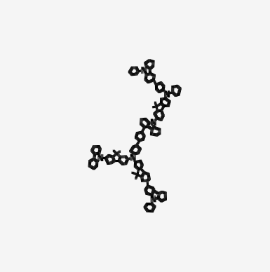 CC1(C)c2cc(-c3ccc4c(c3)c3ccccc3n4-c3ccccc3)ccc2-c2ccc(N(c3ccc(-c4ccc(-c5cccc6c5c5ccccc5n6-c5ccc6c(c5)C(C)(C)c5cc(N(c7ccccc7)c7ccc(-c8ccc9c(c8)c8ccccc8n9-c8ccccc8)cc7)ccc5-6)cc4)cc3)c3ccc4c(c3)C(C)(C)c3cc(-n5c6ccccc6c6ccccc65)ccc3-4)cc21